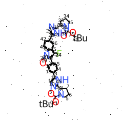 CC(C)(C)OC(=O)N1CCC[C@H]1c1ncc(-c2ccc3c(c2)OCn2c-3c(F)c3cc(-c4cnc([C@@H]5CCCN5C(=O)OC(C)(C)C)[nH]4)ccc32)[nH]1